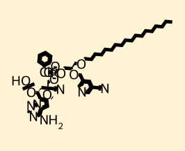 CCCCCCCCCCCCCCCCCCOC[C@H](COP(=O)(OC[C@](C#N)(C[C@@H](OC(C)(C)O)c1ccc2c(N)ncnn12)OC)Oc1ccccc1Cl)OCc1cncc(C#N)c1